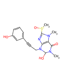 CN1C(=O)c2c(nc([S+](C)[O-])n2C)N(CC#Cc2cccc(O)c2)C1O